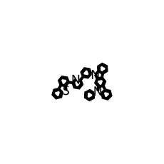 c1ccc(-n2c3ccccc3c3cc4c5ccccc5n(-c5cccc(-c6cccc(-c7cccc8c7sc7ccccc78)n6)c5)c4cc32)cc1